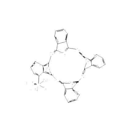 [NH2][Fe]([NH2])([NH2])([NH2])[c]1cccc2c3nc4nc(nc5[nH]c(nc6nc(nc([nH]3)c12)-c1ccccc1-6)c1ccccc51)-c1ccccc1-4